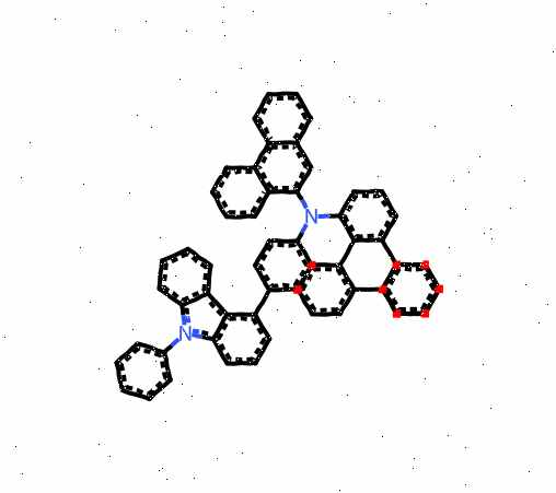 c1ccc(-c2ccccc2-c2c(-c3ccccc3)cccc2N(c2ccc(-c3cccc4c3c3ccccc3n4-c3ccccc3)cc2)c2cc3ccccc3c3ccccc23)cc1